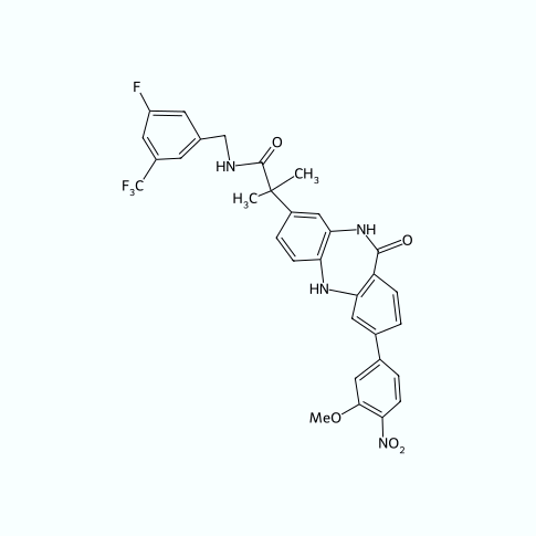 COc1cc(-c2ccc3c(c2)Nc2ccc(C(C)(C)C(=O)NCc4cc(F)cc(C(F)(F)F)c4)cc2NC3=O)ccc1[N+](=O)[O-]